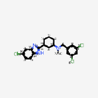 CC(=O)N(Cc1cc(Cl)cc(Cl)c1)C1CCCC(c2nc3cc(Cl)ccc3[nH]2)C1